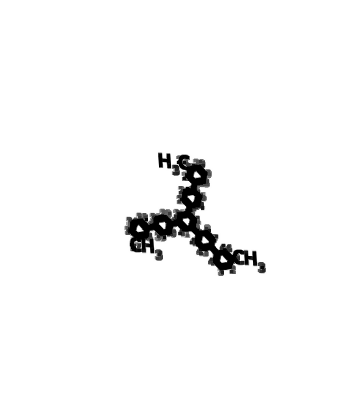 Cc1cccc(-c2ccc(-c3cc(-c4ccc(-c5cccc(C)c5)cc4)cc(-c4ccc(-c5cccc(C)c5)cc4)c3)cc2)c1